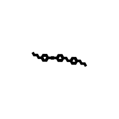 CCCCc1ccc(C#Cc2ccc(CCc3ccc(CCCC)cc3)cc2)cc1